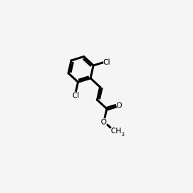 COC(=O)C=Cc1c(Cl)cccc1Cl